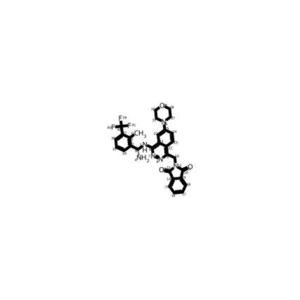 Cc1c([C@@H](N)Nc2nnc(CN3C(=O)c4ccccc4C3=O)c3ccc(N4CCOCC4)cc23)cccc1C(F)(F)F